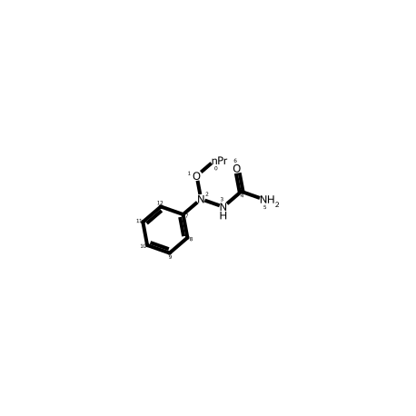 CCCON(NC(N)=O)c1ccccc1